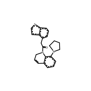 O=C(Cc1cccc2sccc12)N1CC=Cc2cccc(N3CCCC3)c21